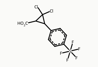 O=C(O)C1C(c2ccc(S(F)(F)(F)(F)F)cc2)C1(Cl)Cl